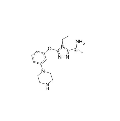 CCn1c(Oc2cccc(N3CCNCC3)c2)nnc1[C@@H](C)N